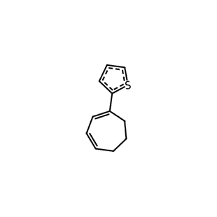 C1=CCCCC(c2cccs2)=C1